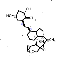 C=C1/C(=C\C=C2/CCC[C@@]3(C)C2CC[C@@H]3[C@H](C)C2OC2(CC)C(=O)C2CC2)C[C@@H](O)C[C@@H]1O